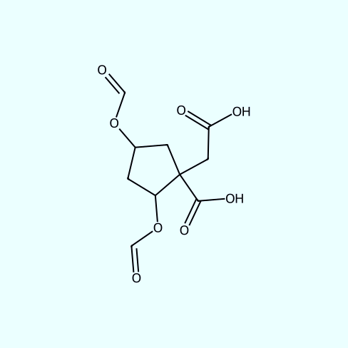 O=COC1CC(OC=O)C(CC(=O)O)(C(=O)O)C1